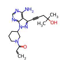 C=CC(=O)N1CCCC(n2nc(C#CCC(C)(C)O)c3c(N)ncnc32)C1